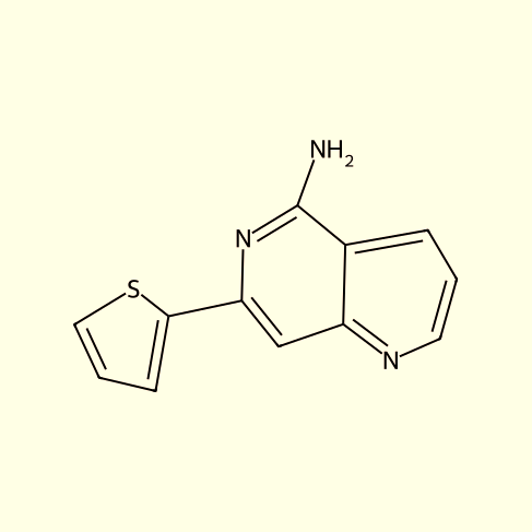 Nc1nc(-c2cccs2)cc2ncccc12